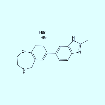 Br.Br.Cc1nc2ccc(-c3ccc4c(c3)CNCCO4)cc2[nH]1